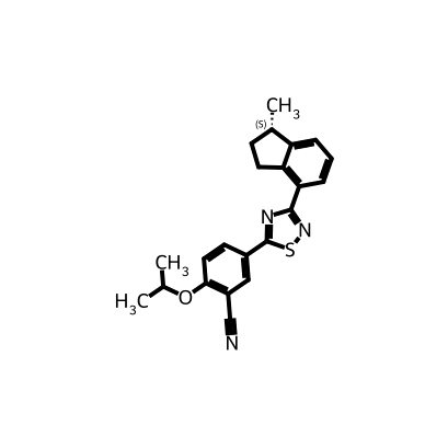 CC(C)Oc1ccc(-c2nc(-c3cccc4c3CC[C@@H]4C)ns2)cc1C#N